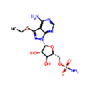 N#CCSc1nn([C@@H]2O[C@H](COS(N)(=O)=O)[C@@H](O)[C@H]2O)c2ncnc(N)c12